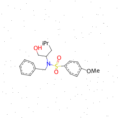 COc1ccc(S(=O)(=O)N(Cc2ccccc2)C(CO)CC(C)C)cc1